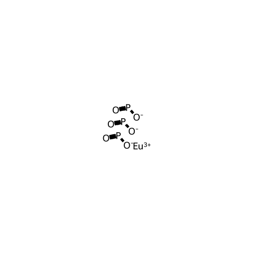 O=P[O-].O=P[O-].O=P[O-].[Eu+3]